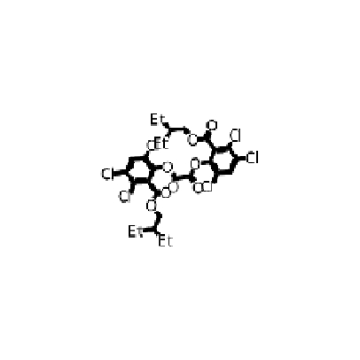 CCC(CC)COC(=O)c1c(Cl)c(Cl)cc(Cl)c1OC(=O)C(=O)Oc1c(Cl)cc(Cl)c(Cl)c1C(=O)OCC(CC)CC